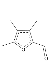 Cc1oc(C=O)c(C)c1C